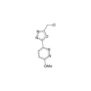 COc1ccc(-c2nnc(CCl)o2)nn1